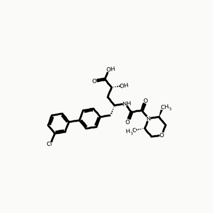 C[C@H]1COC[C@H](C)N1C(=O)C(=O)N[C@H](Cc1ccc(-c2cccc(Cl)c2)cc1)C[C@@H](O)C(=O)O